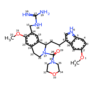 COc1ccc2[nH]cc(CCC3c4cc(CNC(=N)N)c(OC)cc4CCN3C(=O)N3CCOCC3)c2c1